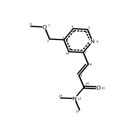 COCc1ccnc(C=CC(=O)N(C)C)c1